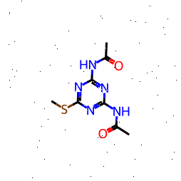 CSc1nc(NC(C)=O)nc(NC(C)=O)n1